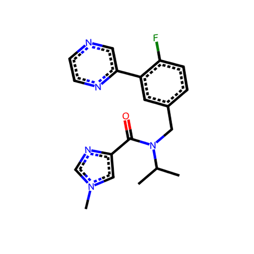 CC(C)N(Cc1ccc(F)c(-c2cnccn2)c1)C(=O)c1cn(C)cn1